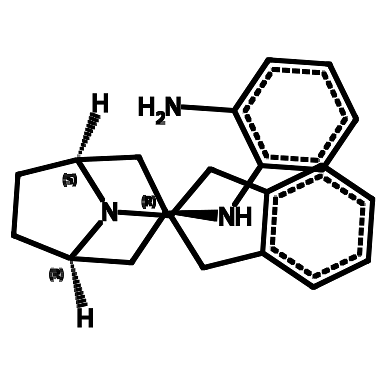 Nc1ccccc1N[C@H]1C[C@H]2CC[C@@H](C1)N2C1Cc2ccccc2C1